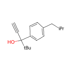 C#CC(O)(c1ccc(CC(C)C)cc1)C(C)(C)C